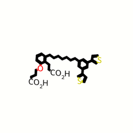 O=C(O)CCCOc1cccc(CCCCCCCc2cc(-c3ccsc3)cc(-c3ccsc3)c2)c1CCC(=O)O